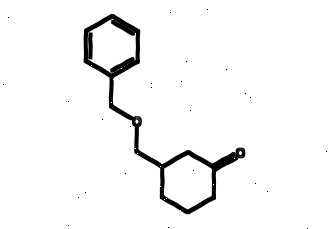 O=C1CCCC(COCc2ccccc2)C1